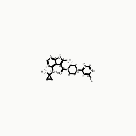 Cc1oc2ncnc(NC3(C)CC3)c2c1C(=O)N1CCN(c2cc(F)ncn2)CC1